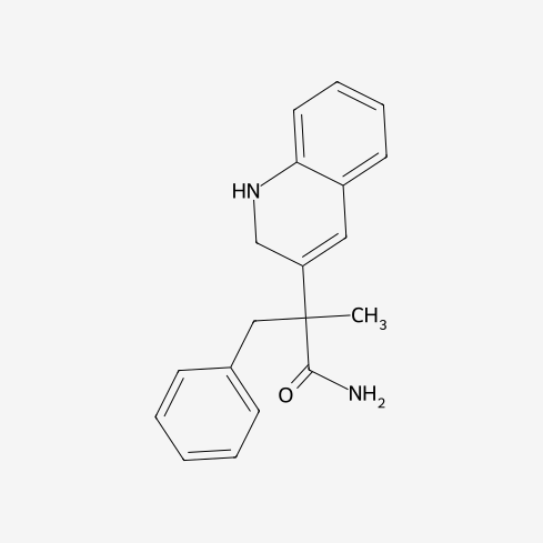 CC(Cc1ccccc1)(C(N)=O)C1=Cc2ccccc2NC1